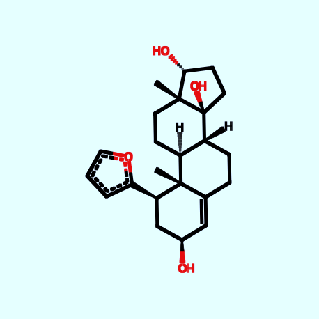 C[C@@]12C(=C[C@@H](O)C[C@H]1c1ccco1)CC[C@@H]1[C@@H]2CC[C@]2(C)[C@H](O)CC[C@]12O